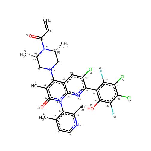 C=CC(=O)N1[C@H](C)CN(c2c(C#N)c(=O)n(-c3c(C)ccnc3C(C)C)c3nc(-c4c(O)c(F)c(Cl)c(Cl)c4F)c(Cl)cc23)C[C@@H]1C